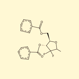 CC1O[C@H](COC(=O)c2ccccc2)[C@@H](OC(=O)c2ccccc2)C1(F)F